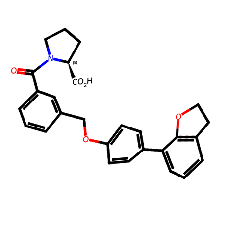 O=C(O)[C@@H]1CCCN1C(=O)c1cccc(COc2ccc(-c3cccc4c3OCC4)cc2)c1